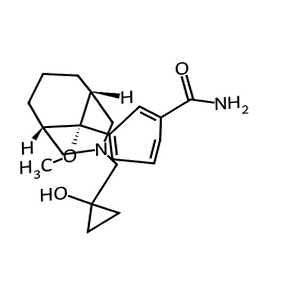 CO[C@@]1(c2cccc(C(N)=O)c2)[C@@H]2CCC[C@H]1CN(CC1(O)CC1)C2